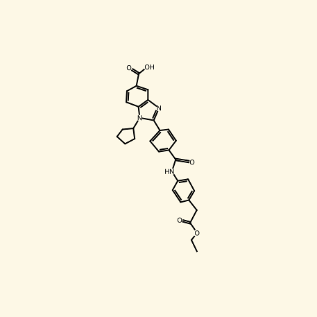 CCOC(=O)Cc1ccc(NC(=O)c2ccc(-c3nc4cc(C(=O)O)ccc4n3C3CCCC3)cc2)cc1